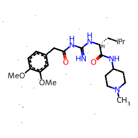 COc1ccc(CC(=O)NC(=N)N[C@H](CC(C)C)C(=O)NC2CCN(C)CC2)cc1OC